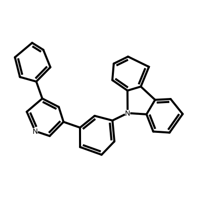 c1ccc(-c2cncc(-c3cccc(-n4c5ccccc5c5ccccc54)c3)c2)cc1